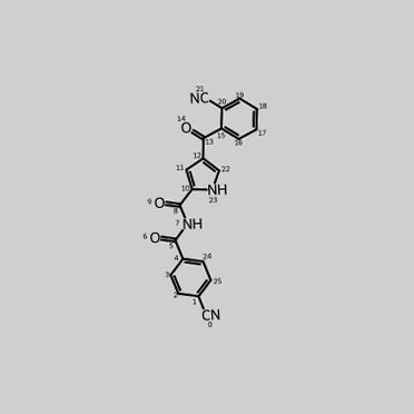 N#Cc1ccc(C(=O)NC(=O)c2cc(C(=O)c3ccccc3C#N)c[nH]2)cc1